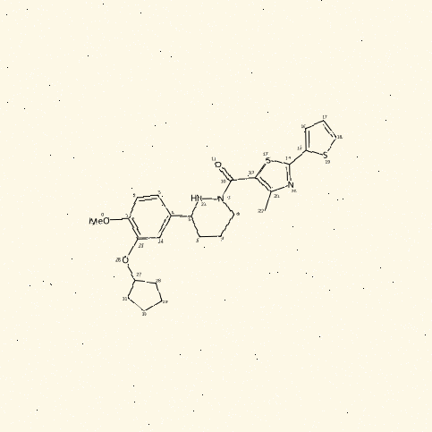 COc1ccc(C2CCCN(C(=O)c3sc(-c4cccs4)nc3C)N2)cc1OC1CCCC1